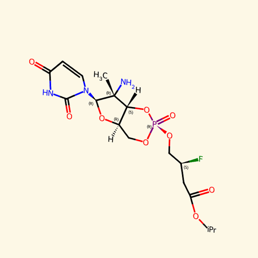 CC(C)OC(=O)C[C@H](F)CO[P@@]1(=O)OC[C@H]2O[C@@H](n3ccc(=O)[nH]c3=O)[C@](C)(N)[C@@H]2O1